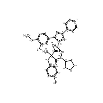 COc1ccc(-c2nc(-c3ccncc3)nn2CCN(C(=O)C(N)(Cc2ccc(F)cc2)C(C)=O)C2CCCC2)cc1Cl